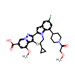 COCC(=O)N1CCC(c2cc(F)cc3cc(-c4nn5cc(C(=O)O)cc(OC)c5c4C)n(CCC4CC4)c23)CC1